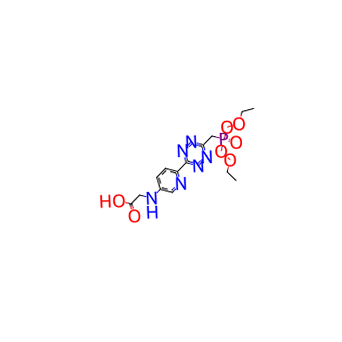 CCOOP(=O)(Cc1nnc(-c2ccc(NCC(=O)O)cn2)nn1)OOCC